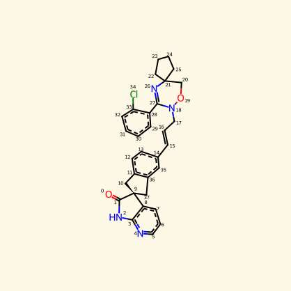 O=C1Nc2ncccc2[C@]12Cc1ccc(/C=C/CN3OCC4(CCCC4)N=C3c3ccccc3Cl)cc1C2